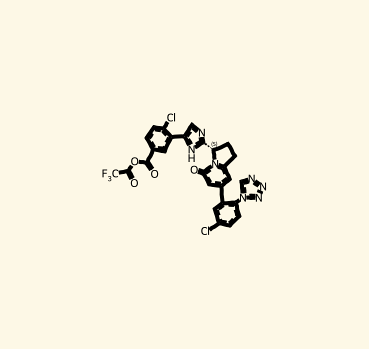 O=C(OC(=O)C(F)(F)F)c1ccc(Cl)c(-c2cnc([C@@H]3CCc4cc(-c5cc(Cl)ccc5-n5cnnn5)cc(=O)n43)[nH]2)c1